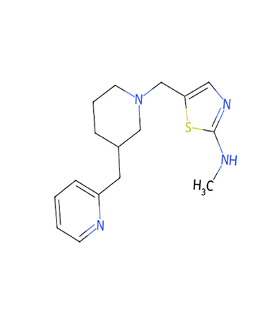 CNc1ncc(CN2CCCC(Cc3ccccn3)C2)s1